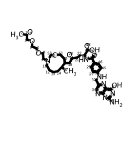 CC(=O)COCCOCCN1CCCCC(C)C(CC(=O)CC[C@H](NC(=O)c2ccc(NCc3cnc4nc(N)nc(O)c4n3)cc2)C(=O)O)CCCC1